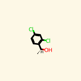 C[C@@H](O)c1ccc(Cl)cc1Cl